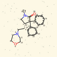 CCN1C[C@@H](CCN2CCOCC2)C(c2ccccc2)(c2ccccc2)C1=O